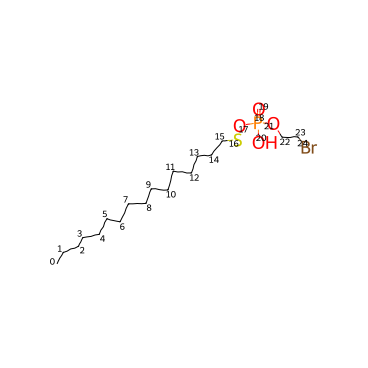 CCCCCCCCCCCCCCCCSOP(=O)(O)OCCBr